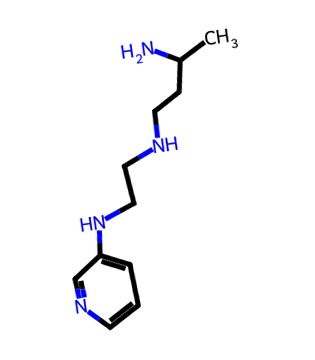 CC(N)CCNCCNc1cccnc1